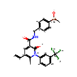 C=Cc1cc(C(=O)NCc2ccc([S+](C)[O-])cc2)c(=O)n(-c2cccc(C(F)(F)F)c2)c1C